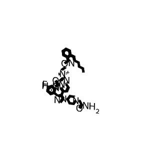 CCCCc1cc2ccccc2c(OCC[N+](C)(C)C2=C[N+]3(C(N)=O)N=C(c4c(-c5ccc(F)cc5)ncn4C4CCN(CC(N)=O)CC4)C=CC3=N2)n1